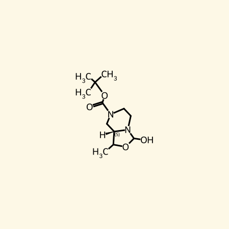 CC1OC(O)N2CCN(C(=O)OC(C)(C)C)C[C@@H]12